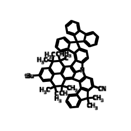 CC(C)(C)c1cc2c3c(c1)C(C)(C)C(C)(C)c1c-3c(c3c4c5c(ccc4n4c6cc(C#N)c7c(c6c1c34)-c1ccccc1C7(C)C)C1(c3ccccc3-c3ccccc31)c1ccccc1-5)C(C)(C)C2(C)C